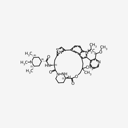 CCn1c(-c2cccnc2[C@H](C)OC)c2c3cc(ccc31)-c1csc(n1)C[C@H](NC(=O)[C@H]1C[C@@H](C)N(C)[C@@H](C)C1)C(=O)N1CCC[C@H](N1)C(=O)OCC(C)(C)C2